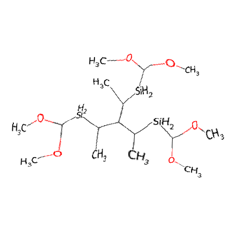 COC(OC)[SiH2]C(C)C(C(C)[SiH2]C(OC)OC)C(C)[SiH2]C(OC)OC